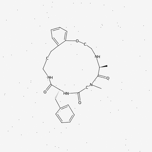 C[C@@H]1NCCOc2ccccc2CCCNC(=O)[C@@H](Cc2ccccc2)NC(=O)CN(C)C1=O